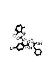 Cc1cccc(Cl)c1NC(=O)Nc1cc(Cl)ccc1C(=O)N[C@H](C(=O)O)C1CCCCC1